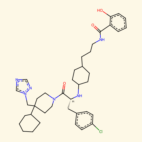 O=C(NCCCC1CCC(N[C@H](Cc2ccc(Cl)cc2)C(=O)N2CCC(Cn3cncn3)(C3CCCCC3)CC2)CC1)c1ccccc1O